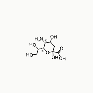 N[C@@H]1C(O)CC(O)(C(=O)O)O[C@@H]1C(O)CO